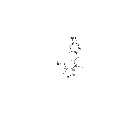 O=C(OCc1ccc([N+](=O)[O-])cc1)N1CCCC1CO